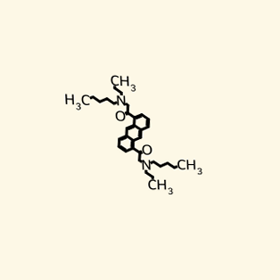 CCCCCN(CCC)CC(=O)c1cccc2cc3c(C(=O)CN(CCC)CCCCC)cccc3cc12